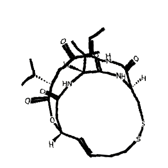 C/C=C1\NC(=O)[C@H]2CSSCC/C=C/[C@@H](CC(=O)N[C@H](C(C)C)C(=O)N2)OC(=O)[C@H](C(C)C)CC1=O